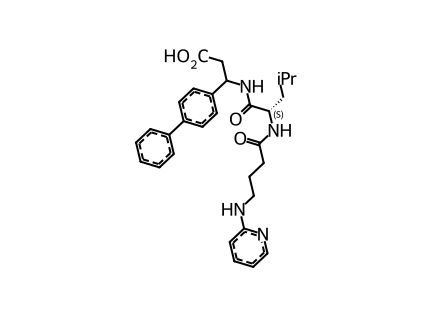 CC(C)C[C@H](NC(=O)CCCNc1ccccn1)C(=O)NC(CC(=O)O)c1ccc(-c2ccccc2)cc1